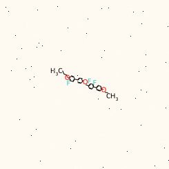 CCCCOc1ccc(-c2ccc(OCc3ccc(-c4ccc(OCCC)cc4)c(F)c3F)cc2)cc1F